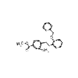 COC(=O)c1ccc(CCc2ccccc2OCc2ccccc2)c(N)c1